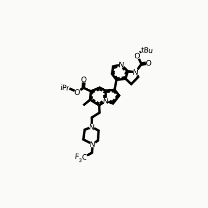 Cc1c(C(=O)OC(C)C)cc2c(-c3ccnc4c3CCN4C(=O)OC(C)(C)C)ccn2c1CCN1CCN(CC(F)(F)F)CC1